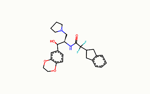 O=C(N[C@H](CN1CCCC1)[C@H](O)c1ccc2c(c1)OCCO2)C(F)(F)C1Cc2ccccc2C1